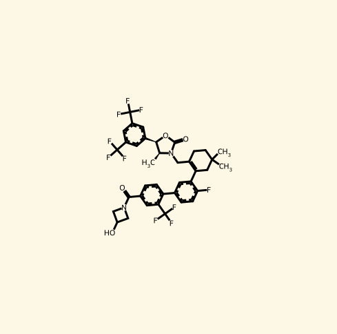 C[C@H]1[C@@H](c2cc(C(F)(F)F)cc(C(F)(F)F)c2)OC(=O)N1CC1=C(c2cc(-c3ccc(C(=O)N4CC(O)C4)cc3C(F)(F)F)ccc2F)CC(C)(C)CC1